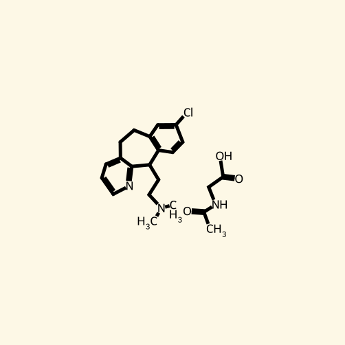 CC(=O)NCC(=O)O.CN(C)CCC1c2ccc(Cl)cc2CCc2cccnc21